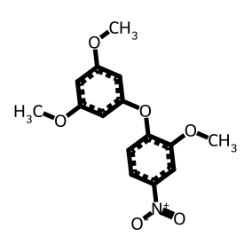 COc1cc(OC)cc(Oc2ccc([N+](=O)[O-])cc2OC)c1